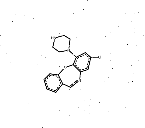 Clc1cc2c(c(N3CCNCC3)c1)Sc1ccccc1C=N2